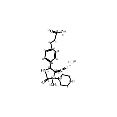 C[N+]1(N2CCNCC2)C(=O)NC(c2ccc(CCC(=O)O)cc2)C1=C=O.Cl